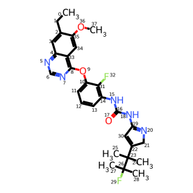 CCc1cc2ncnc(Oc3cccc(NC(=O)NC4=NCC(C(C)(C)C(C)(C)F)=C4)c3F)c2cc1OC